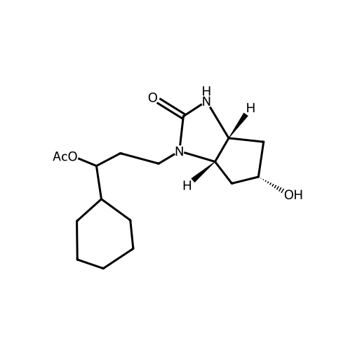 CC(=O)OC(CCN1C(=O)N[C@@H]2C[C@H](O)C[C@@H]21)C1CCCCC1